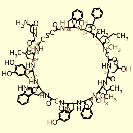 CCCC[C@H]1C(=O)N(C)CC(=O)N[C@@H](CC(=O)O)C(=O)N[C@@H](C(C)C)C(=O)N(C)[C@@H](Cc2ccccc2)C(=O)N[C@@H](Cc2ccc(O)cc2)C(=O)N(C)CC(=O)N[C@@H](Cc2c[nH]c3ccccc23)C(=O)N[C@H](Cc2ccc(O)c(O)c2)C(=O)N[C@@H](CC(C)C)C(=O)N[C@H](C(=O)NCC(N)=O)CSCC(=O)N[C@@H](Cc2ccccc2)C(=O)N(C)[C@@H](CCc2ccccc2)C(=O)N1C